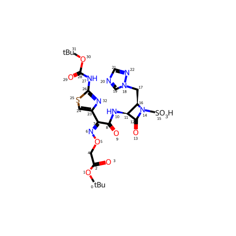 CC(C)(C)OC(=O)CO/N=C(\C(=O)N[C@@H]1C(=O)N(S(=O)(=O)O)[C@@H]1Cn1cncn1)c1csc(NC(=O)OC(C)(C)C)n1